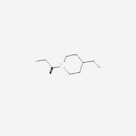 O=C(CI)N1CCC(CI)CC1